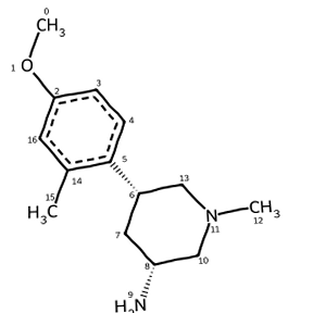 COc1ccc([C@H]2C[C@@H](N)CN(C)C2)c(C)c1